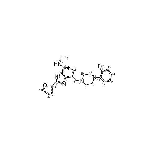 CCCNc1ncc(CN2CCN(c3ccccc3F)CC2)c2nc(-c3ccco3)nn12